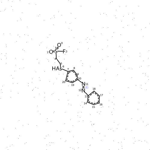 O=S(=O)(F)CC[AsH]c1ccc(/N=N/c2ccccc2)cc1